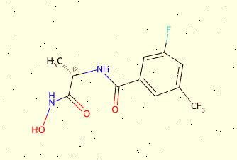 C[C@H](NC(=O)c1cc(F)cc(C(F)(F)F)c1)C(=O)NO